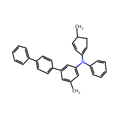 Cc1cc(-c2ccc(-c3ccccc3)cc2)cc(N(C2=CCC(C)C=C2)c2ccccc2)c1